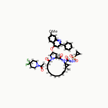 COc1ccc2c(O[C@@H]3C[C@H]4C(=O)N[C@]5(C(=O)NS(=O)(=O)C6CC6)C[C@H]5C=CCCCCC[C@H](CC(=O)N5CCC(F)(F)CC5)C(=O)N4C3)cc(-c3ccccc3)nc2c1